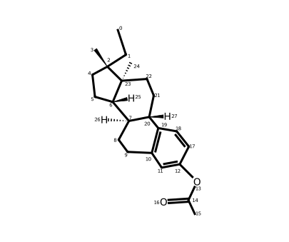 CC[C@@]1(C)CC[C@H]2[C@@H]3CCc4cc(OC(C)=O)ccc4[C@H]3CC[C@@]21C